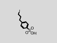 O=S(=O)(O)c1ccc(CCCI)cc1